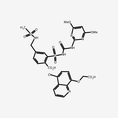 COc1cc(OC)nc(NC(=O)NS(=O)(=O)c2cc(CNS(C)(=O)=O)ccc2C(=O)O)n1.O=C(O)COc1ccc(Cl)c2cccnc12